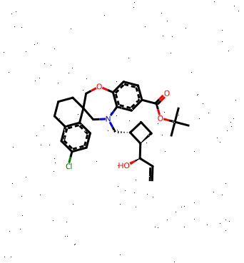 C=C[C@@H](O)[C@@H]1CC[C@H]1CN1CC2(CCCc3cc(Cl)ccc32)COc2ccc(C(=O)OC(C)(C)C)cc21